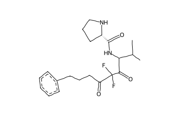 CC(C)C(NC(=O)[C@@H]1CCCN1)C(=O)C(F)(F)C(=O)CCCc1ccccc1